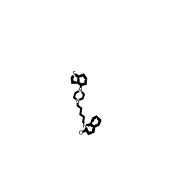 O=c1ccc2ccccc2n1CCCCCN1CCN(c2cccc3sccc23)CC1